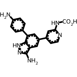 Nc1ccc(-c2cc(-c3ccnc(NC(=O)O)c3)cc3c(N)n[nH]c23)cc1